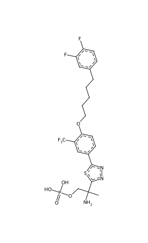 CC(N)(COP(=O)(O)O)c1nnc(-c2ccc(OCCCCCc3ccc(F)c(F)c3)c(C(F)(F)F)c2)s1